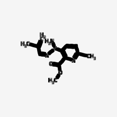 C=C(C)/C=N\N(N)c1ccc(C)nc1C(=O)OC